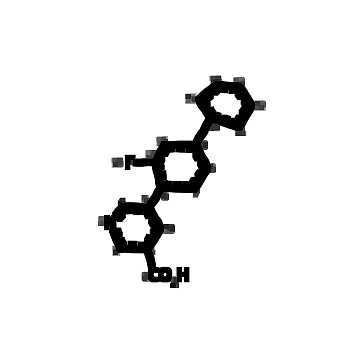 O=C(O)c1cncc(-c2ccc(-c3ccccc3)cc2F)c1